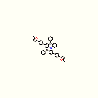 Cc1ccc(-c2ccc(-c3cc4c5c(c3)B(c3ccccc3)c3ccc(-c6ccc(-c7ccc(C)o7)cc6)cc3N5c3ccccc3B4c3ccccc3)cc2)o1